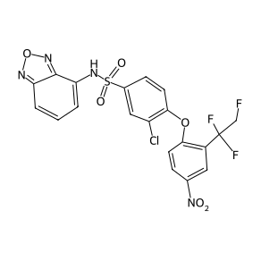 O=[N+]([O-])c1ccc(Oc2ccc(S(=O)(=O)Nc3cccc4nonc34)cc2Cl)c(C(F)(F)CF)c1